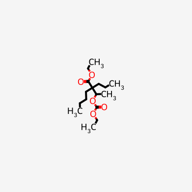 CCCCC(CCC)(C(=O)OCC)C(C)OC(=O)OCC